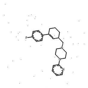 Fc1ccc(C2=CC(CN3CCN(c4ccccn4)CC3)CCC2)cc1